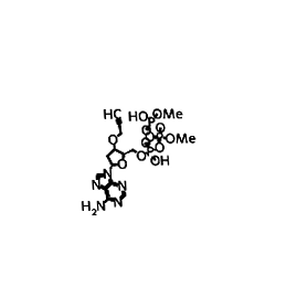 C#CCO[C@@H]1C[C@H](n2cnc3c(N)ncnc32)O[C@@H]1COP(=O)(O)OP(=O)(OC)OP(=O)(O)OC